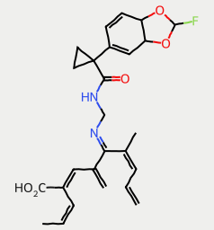 C=C/C=C(C)\C(=N/CNC(=O)C1(C2=CC3OC(F)OC3C=C2)CC1)C(=C)/C=C(\C=C/C)C(=O)O